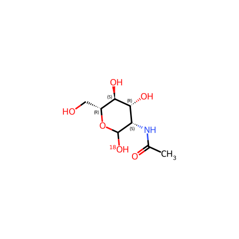 CC(=O)N[C@@H]1C([18OH])O[C@H](CO)[C@@H](O)[C@@H]1O